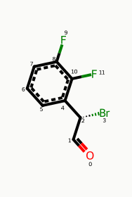 O=C[C@@H](Br)c1cccc(F)c1F